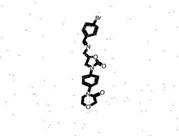 O=C1COCCN1c1ccc(N2CC(CN=Cc3ccc(Br)cc3)OC2=O)cc1